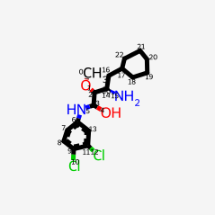 COC(C(O)Nc1ccc(Cl)c(Cl)c1)[C@H](N)CC1CCCCC1